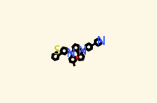 Cc1ccc(N(c2ccc3sc4ccccc4c3c2)c2cccc3c2c2ccccc2n3-c2ccc(-c3ccncc3)cc2)cc1